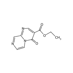 CCOC(=O)c1cnc2cnccn2c1=O